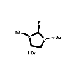 Br.CCCCN1CCN(CCCC)C1F